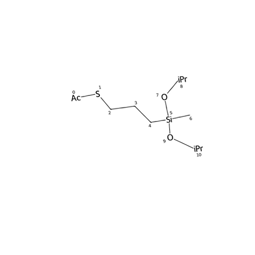 CC(=O)SCCC[Si](C)(OC(C)C)OC(C)C